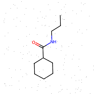 [CH2]CCNC(=O)C1CCCCC1